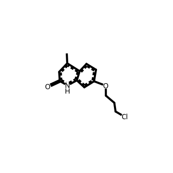 Cc1cc(=O)[nH]c2cc(OCCCCl)ccc12